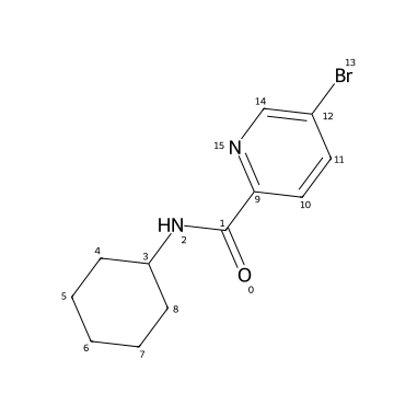 O=C(NC1CCCCC1)c1ccc(Br)cn1